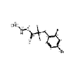 Cc1cc(Br)ccc1CC(C)(C)C(=O)ONC=O